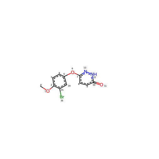 COc1ccc(Oc2ccc(=O)[nH]n2)cc1Br